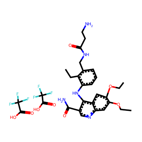 CCOc1cc2ncc(C(N)=O)c(Nc3cccc(CNC(=O)CCN)c3CC)c2cc1OCC.O=C(O)C(F)(F)F.O=C(O)C(F)(F)F